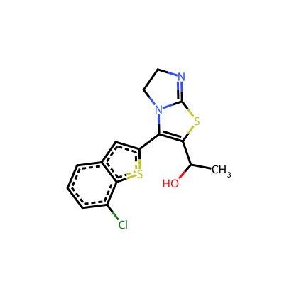 CC(O)C1=C(c2cc3cccc(Cl)c3s2)N2CCN=C2S1